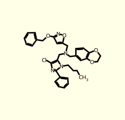 CCCCn1c(-c2ccccc2)nc(Cl)c1CN(Cc1ccc2c(c1)OCCO2)Cc1cc(OCc2ccccc2)no1